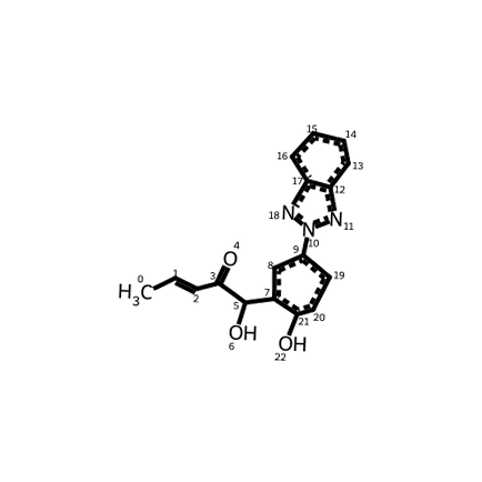 CC=CC(=O)C(O)c1cc(-n2nc3ccccc3n2)ccc1O